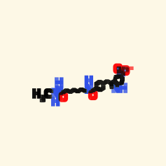 CCNNC(=O)CCCCCCNC(=O)c1ccc(Cc2c[nH]c3ccc([N+](=O)[O-])cc23)cc1